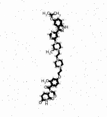 Cc1cc(OCCN2CCN(CCN3CCN(c4cc(-c5n[nH]c6ccc(OC(C)C)cc56)ncn4)C[C@@H]3C)CC2)ccc1C(=O)N(C=O)C1CCC(=O)NC1=O